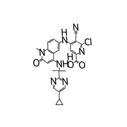 Cn1c(=O)cc(NC(C)(C)c2ncc(C3CC3)cn2)c2cc(Nc3cc(C(=O)O)nc(Cl)c3C#N)ccc21